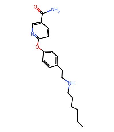 CCCCCCNCCc1ccc(Oc2ccc(C(N)=O)cn2)cc1